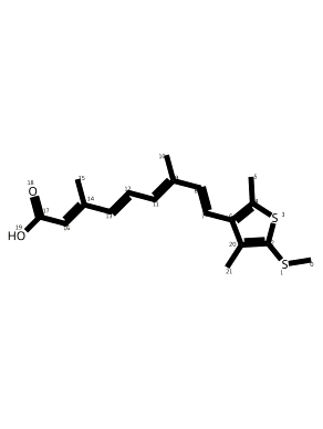 CSc1sc(C)c(C=CC(C)=CC=C/C(C)=C/C(=O)O)c1C